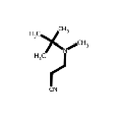 CN(CCC#N)C(C)(C)C